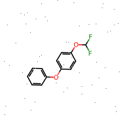 FC(F)Oc1ccc(Oc2ccccc2)cc1